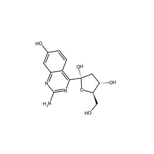 Nc1nc([C@@]2(O)C[C@H](O)[C@@H](CO)O2)c2ccc(O)cc2n1